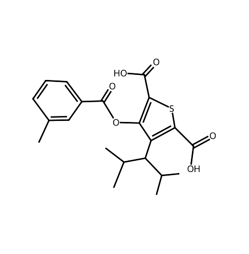 Cc1cccc(C(=O)Oc2c(C(=O)O)sc(C(=O)O)c2C(C(C)C)C(C)C)c1